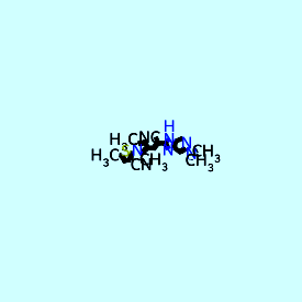 Cc1cc(C#N)c(-n2c(C)cc(C=C(C#N)c3nc4cc(N(C)C)ncc4[nH]3)c2C)s1